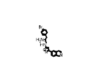 N[C@H](CNc1cc(-c2ccc3cnccc3c2)no1)Cc1ccc(Br)cc1